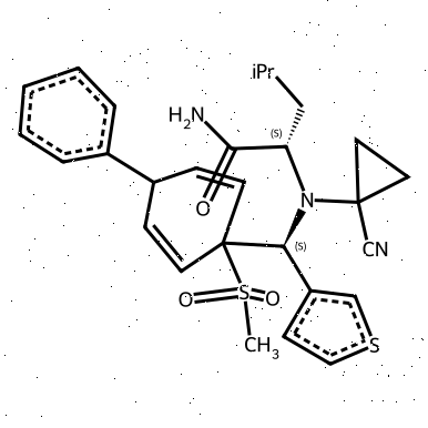 CC(C)C[C@@H](C(N)=O)N([C@@H](c1ccsc1)C1(S(C)(=O)=O)C=CC(c2ccccc2)C=C1)C1(C#N)CC1